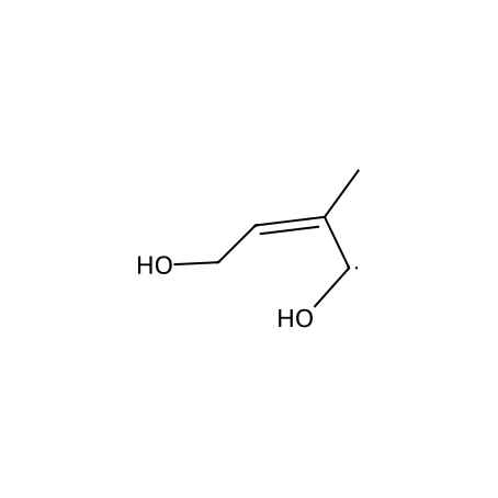 CC([CH]O)=CCO